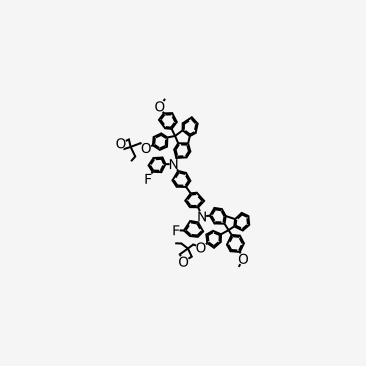 CCC1(COc2ccc(C3(c4ccc(OC)cc4)c4ccccc4-c4ccc(N(c5ccc(-c6ccc(N(c7cccc(F)c7)c7ccc8c(c7)C(c7ccc(OC)cc7)(c7ccc(OCC9(CC)COC9)cc7)c7ccccc7-8)cc6)cc5)c5cccc(F)c5)cc43)cc2)COC1